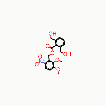 COc1ccc([N+](=O)[O-])c(COC(=O)c2c(CO)cccc2CO)c1OC